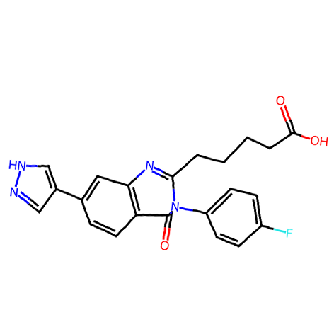 O=C(O)CCCCc1nc2cc(-c3cn[nH]c3)ccc2c(=O)n1-c1ccc(F)cc1